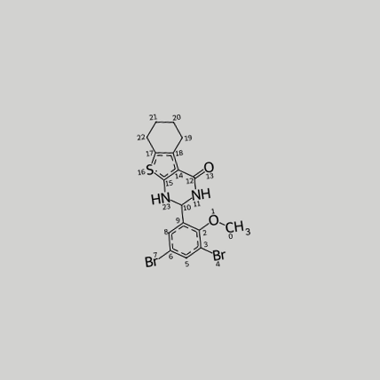 COc1c(Br)cc(Br)cc1C1NC(=O)c2c(sc3c2CCCC3)N1